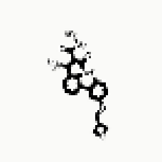 CCCNC(=O)c1c(N)c2cccc(-c3cc(OCC4COC4)ccc3F)c2[nH]c1=O